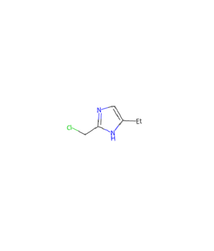 CCc1cnc(CCl)[nH]1